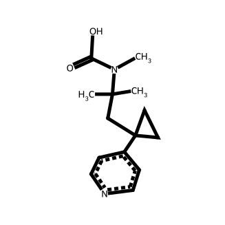 CN(C(=O)O)C(C)(C)CC1(c2ccncc2)CC1